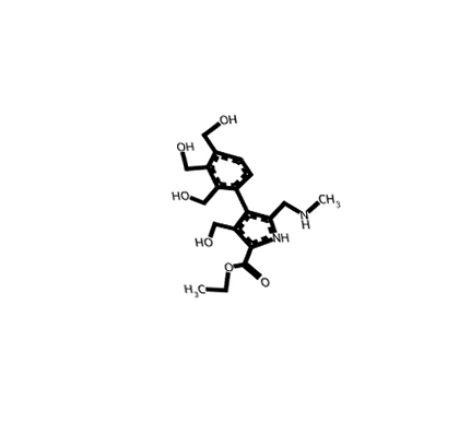 CCOC(=O)c1[nH]c(CNC)c(-c2ccc(CO)c(CO)c2CO)c1CO